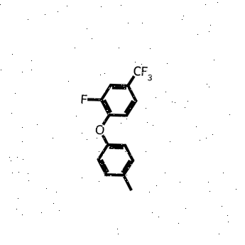 Cc1ccc(Oc2ccc(C(F)(F)F)cc2F)cc1